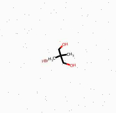 Br.CC(C)(CO)CO